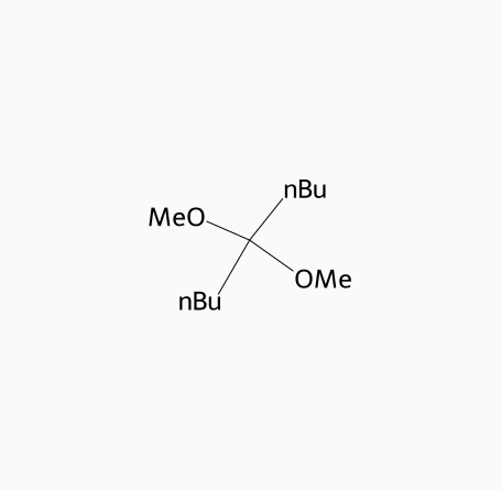 CCCCC(CCCC)(OC)OC